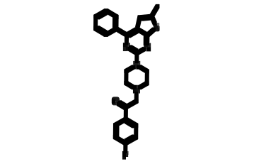 Cc1cc2c(-c3ccccc3)nc(N3CCN(CC(=O)c4ccc(F)cc4)CC3)nc2s1